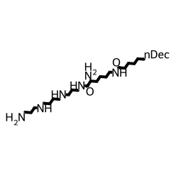 CCCCCCCCCCCCCCCC(=O)NCCCC[C@@H](N)C(=O)NCCCNCCCCNCCCN